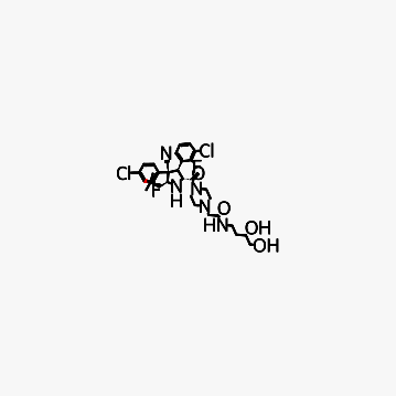 CC(C)(C)C[C@@H]1N[C@@H](C(=O)N2CCN(CC(=O)NCC[C@H](O)CO)CC2)[C@H](c2cccc(Cl)c2F)[C@@]1(C#N)c1ccc(Cl)cc1F